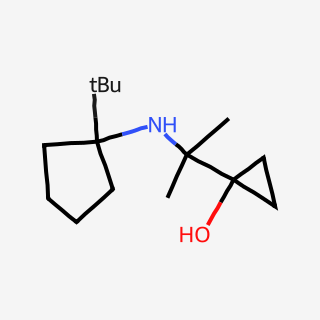 CC(C)(C)C1(NC(C)(C)C2(O)CC2)CCCC1